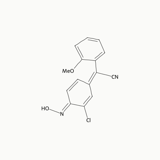 COc1ccccc1C(C#N)=C1C=CC(=NO)C(Cl)=C1